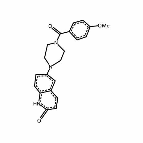 COc1ccc(C(=O)N2CCN(c3ccc4[nH]c(=O)ccc4c3)CC2)cc1